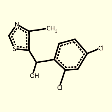 Cc1ncsc1C(O)c1ccc(Cl)cc1Cl